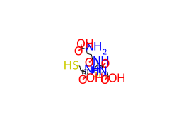 NC(CCC(=O)NC(CS)C(=O)NCC(=O)O)C(=O)O.N[C@@H](CCS)C(=O)O